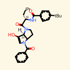 CC(C)C[C@H](NC(=O)c1ccc(C(C)(C)C)cc1)C(=O)N1CCC2[C@H]1C(O)=CN2C(=O)c1ccccc1